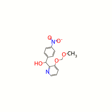 COCOc1cccnc1C(O)c1ccc([N+](=O)[O-])cc1